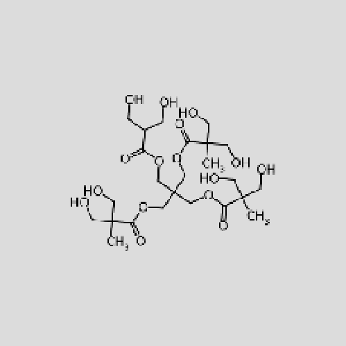 CC(CO)(CO)C(=O)OCC(COC(=O)C(CO)CO)(COC(=O)C(C)(CO)CO)COC(=O)C(C)(CO)CO